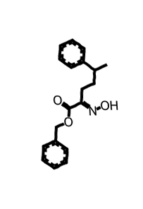 CC(CCC(=NO)C(=O)OCc1ccccc1)c1ccccc1